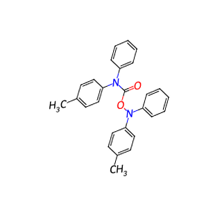 Cc1ccc(N(OC(=O)N(c2ccccc2)c2ccc(C)cc2)c2ccccc2)cc1